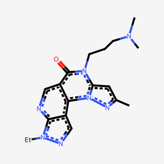 CCn1ncc2c1ncc1c(=O)n(CCCN(C)C)c3cc(C)nn3c12